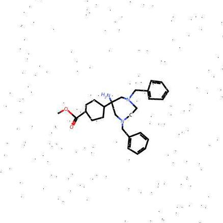 COC(=O)C1CCC(C2(N)CN(Cc3ccccc3)CCN(Cc3ccccc3)C2)CC1